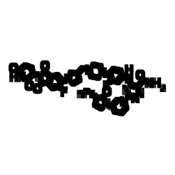 CCCC1CCN([C@@H]2CCCN(c3nnc(C(N)=O)c(Nc4ccc(N5CCN(CC6CCN(c7cc8c(cc7F)C(=O)N(C7CCC(=O)NC7=O)C8=O)C6)CC5)c(F)c4)n3)C2)C1=O